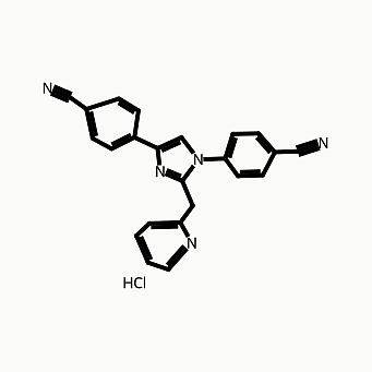 Cl.N#Cc1ccc(-c2cn(-c3ccc(C#N)cc3)c(Cc3ccccn3)n2)cc1